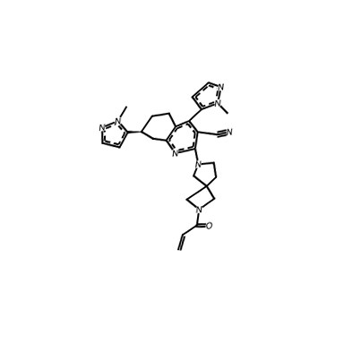 C=CC(=O)N1CC2(CCN(c3nc4c(c(-c5ccnn5C)c3C#N)CC[C@H](c3ccnn3C)C4)C2)C1